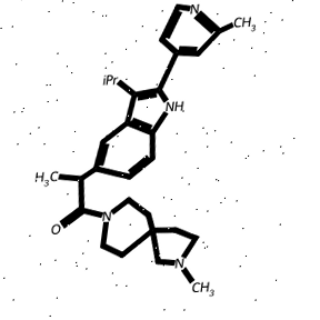 Cc1cc(-c2[nH]c3ccc(C(C)C(=O)N4CCC5(CCN(C)C5)CC4)cc3c2C(C)C)ccn1